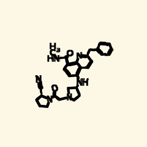 CNC(=O)c1ccc(N[C@H]2CCN(CC(=O)N3CCC[C@H]3C#N)C2)c2ccc(Cc3ccccc3)nc12